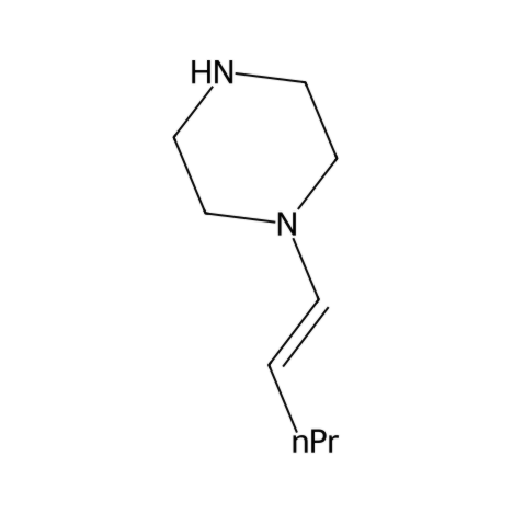 [CH2]CC/C=C/N1CCNCC1